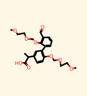 COCCOCOc1ccc(C(C)C(=O)O)cc1-c1cccc(C=O)c1OCOCCOC